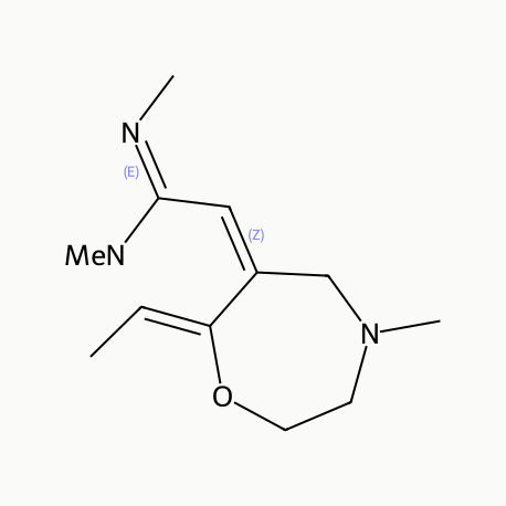 CC=C1OCCN(C)C/C1=C/C(=N\C)NC